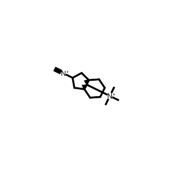 C#[N+]C1CC23CCCCC2(C1)CC([N+](C)(C)C)C3